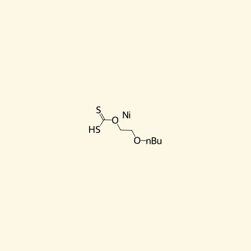 CCCCOCCOC(=S)S.[Ni]